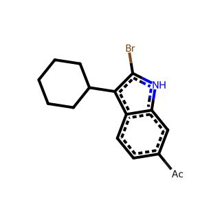 CC(=O)c1ccc2c(C3CCCCC3)c(Br)[nH]c2c1